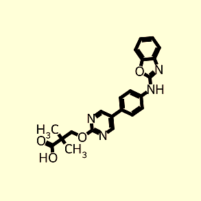 CC(C)(COc1ncc(-c2ccc(Nc3nc4ccccc4o3)cc2)cn1)C(=O)O